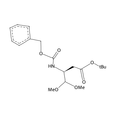 COC(OC)[C@H](CC(=O)OC(C)(C)C)NC(=O)OCc1ccccc1